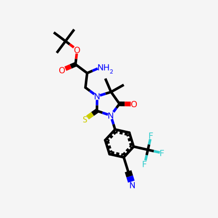 CC(C)(C)OC(=O)C(N)CN1C(=S)N(c2ccc(C#N)c(C(F)(F)F)c2)C(=O)C1(C)C